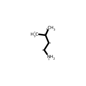 CC(C)C[CH]N